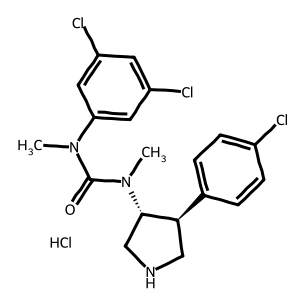 CN(C(=O)N(C)[C@H]1CNC[C@@H]1c1ccc(Cl)cc1)c1cc(Cl)cc(Cl)c1.Cl